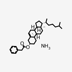 CC(C)CCCC(C)[C@H]1CC[C@H]2[C@@H]3CC=C4C[C@@H](OC(=O)Cc5ccccc5)CC[C@]4(C)[C@H]3CC[C@]12C.N